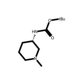 CN1CCC[C@H](NC(=O)OC(C)(C)C)C1